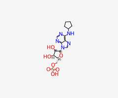 O=S(=O)(O)OC[C@H]1O[C@@H](n2cnc3c(NC4CCCC4)ncnc32)[C@H](O)[C@@H]1O